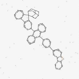 c1ccc2c(c1)-c1ccc(-c3c4ccccc4c(-c4ccc(-c5ccc6sc7ccccc7c6c5)cc4)c4ccccc34)cc1C21C2CC3CC(C2)CC1C3